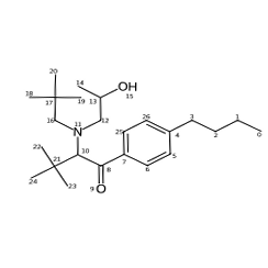 CCCCc1ccc(C(=O)C(N(CC(C)O)CC(C)(C)C)C(C)(C)C)cc1